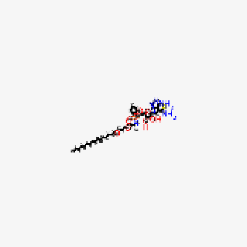 CCCCCCCCCCCCCCCCOCCCOC(=O)[C@@H](C)/N=[P+](\[O-])Oc1ccccc1OCC1O[C@@H](n2cc(C(N)=S)c3c(N)ncnc32)[C@H](O)[C@@H]1O